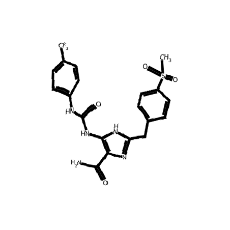 CS(=O)(=O)c1ccc(Cc2nc(C(N)=O)c(NC(=O)Nc3ccc(C(F)(F)F)cc3)[nH]2)cc1